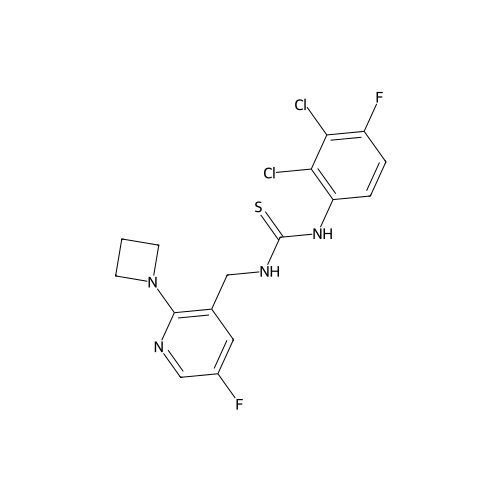 Fc1cnc(N2CCC2)c(CNC(=S)Nc2ccc(F)c(Cl)c2Cl)c1